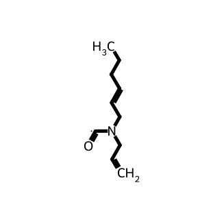 C=CCN([C]=O)C/C=C/CCC